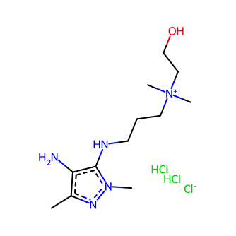 Cc1nn(C)c(NCCC[N+](C)(C)CCO)c1N.Cl.Cl.[Cl-]